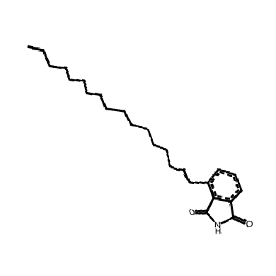 CCCCCCCCCCCCCCCCCc1cccc2c1C(=O)NC2=O